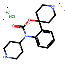 Cl.Cl.O=C1OC2(CCNCC2)c2ccccc2N1C1CCNCC1